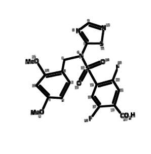 COc1ccc(CN(c2ncns2)S(=O)(=O)c2cc(F)c(C(=O)O)cc2F)c(OC)c1